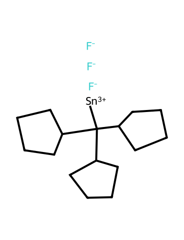 [F-].[F-].[F-].[Sn+3][C](C1CCCC1)(C1CCCC1)C1CCCC1